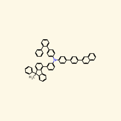 CC1(c2ccccc2)c2ccccc2-c2c(-c3cccc(N(c4ccc(-c5ccc(-c6ccc7ccccc7c6)cc5)cc4)c4ccc(-c5ccccc5-c5ccccc5)cc4)c3)cccc21